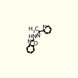 C/C(=N\Nc1nc2ccccc2o1)c1ccccn1